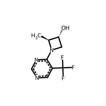 C[C@H]1[C@H](O)CN1c1ncncc1C(F)(F)F